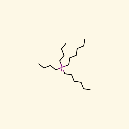 CCCCCC[PH](CCCC)(CCCC)CCCCCC